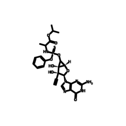 C#C[C@]1(O)[C@H](n2cnc3c(=O)[nH]c(N)nc32)O[C@@H]2C(OP(=S)(NC(C)C(=O)OC(C)C)Oc3ccccc3)[C@@]21O